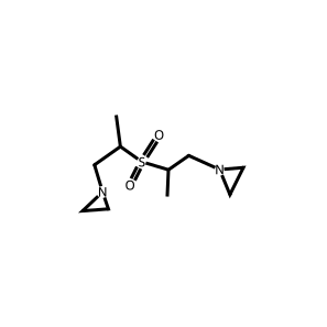 CC(CN1CC1)S(=O)(=O)C(C)CN1CC1